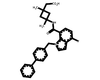 CC1(CC(=O)O)CC(C)(NC(=O)c2ccc(F)c3ccn(Cc4ccc(-c5ccccc5)cc4)c23)C1